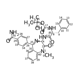 CN1C(=O)C(NC(=O)[C@@H](Cc2ccccc2)NC(=O)OC(C)(C)C)N=C(c2ccc(C(N)=O)cc2)c2ccccc21